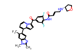 Cc1nc2cc(-c3cccn4c(C(=O)c5cc(F)c(NC(=O)/C=C/CN[C@@H]6CCOC6)c(F)c5)ccc34)c(C(F)(F)F)cc2n1C